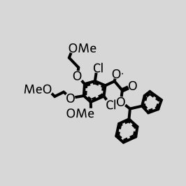 COCCOc1c(Cl)c(C([O])C(=O)OC(c2ccccc2)c2ccccc2)c(Cl)c(OC)c1OCCOC